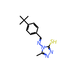 Cc1nnc(S)n1N=Cc1ccc(C(C)(C)C)cc1